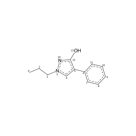 CCCn1cc(-c2ccccc2)c(O)n1